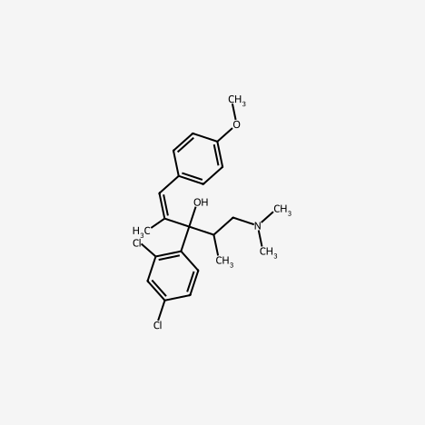 COc1ccc(/C=C(/C)C(O)(c2ccc(Cl)cc2Cl)C(C)CN(C)C)cc1